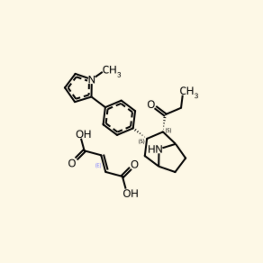 CCC(=O)[C@@H]1C2CCC(C[C@@H]1c1ccc(-c3cccn3C)cc1)N2.O=C(O)/C=C/C(=O)O